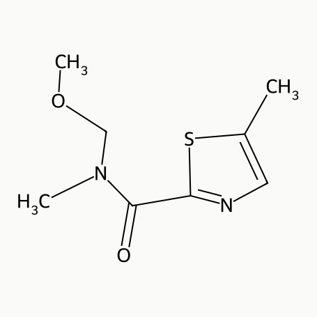 COCN(C)C(=O)c1ncc(C)s1